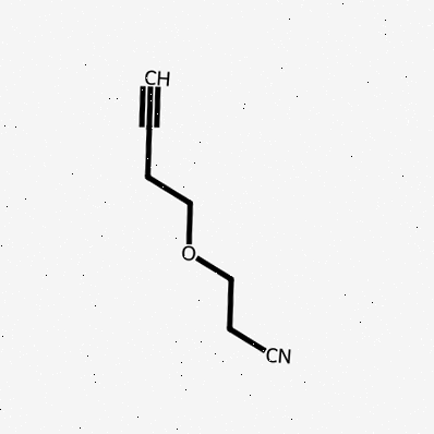 C#CCCOCCC#N